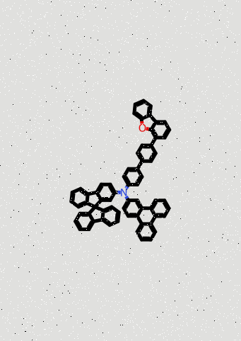 c1ccc2c(c1)-c1ccccc1C21c2ccccc2-c2ccc(N(c3ccc(-c4ccc(-c5cccc6c5oc5ccccc56)cc4)cc3)c3ccc4c5ccccc5c5ccccc5c4c3)cc21